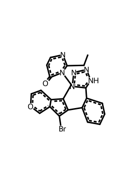 CCc1nccc(=O)n1Cc1c2ccocc-2c(Br)c1-c1ccccc1-c1nnn[nH]1